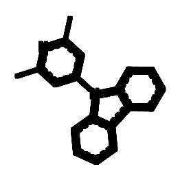 Cc1cc(-n2c3ccccc3c3ccccc32)cc(C)n1